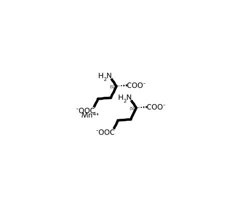 N[C@@H](CCC(=O)[O-])C(=O)[O-].N[C@@H](CCC(=O)[O-])C(=O)[O-].[Mn+4]